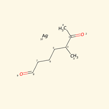 CC(=O)C(C)CCCC=O.[Ag]